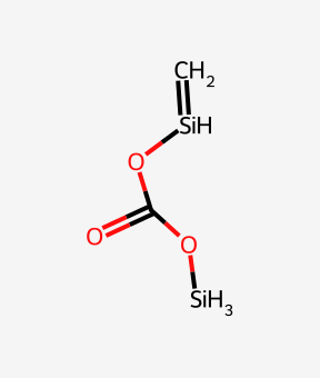 C=[SiH]OC(=O)O[SiH3]